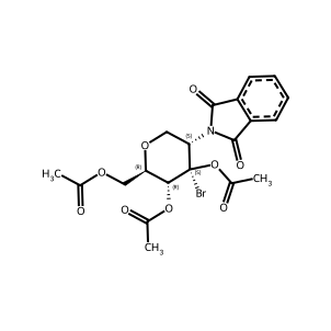 CC(=O)OC[C@H]1OC[C@H](N2C(=O)c3ccccc3C2=O)[C@@](Br)(OC(C)=O)[C@@H]1OC(C)=O